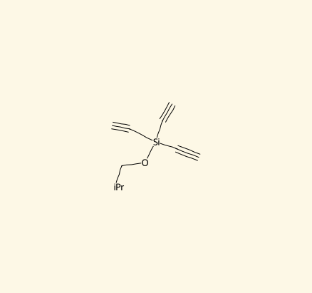 C#C[Si](C#C)(C#C)OCC(C)C